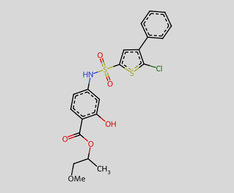 COCC(C)OC(=O)c1ccc(NS(=O)(=O)c2cc(-c3ccccc3)c(Cl)s2)cc1O